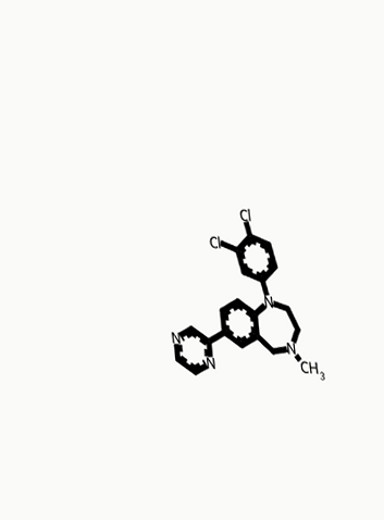 CN1CCN(c2ccc(Cl)c(Cl)c2)c2ccc(-c3cnccn3)cc2C1